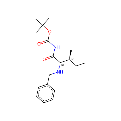 CC[C@H](C)[C@H](NCc1ccccc1)C(=O)NC(=O)OC(C)(C)C